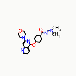 CN(C)/C=N/C(=O)[C@H]1CC[C@@H](Oc2nc(N3CCOCC3)cc3ncccc23)CC1